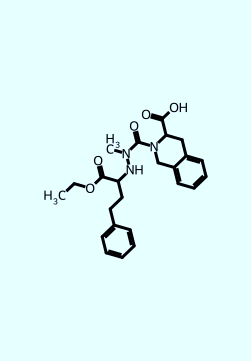 CCOC(=O)C(CCc1ccccc1)NN(C)C(=O)N1Cc2ccccc2CC1C(=O)O